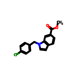 COC(=O)c1ccc2ccn(Cc3ccc(Cl)cc3)c2c1